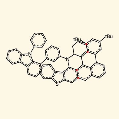 CC(C)(C)c1cc(-c2cccc3cccc(C4=CC=CCC4N(c4cccc(-c5cccc6c7ccccc7n(-c7ccccc7)c56)c4)c4cccc5sc6ccccc6c45)c23)cc(C(C)(C)C)c1